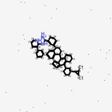 CCC1C(CC)C1C1=CC(c2c3c(c(C4CCC(c5cccc(C(N)NC6NC=CC=C6c6ccccc6)c5)c5ccccc54)c4ccccc24)C=CCC3)CCC1